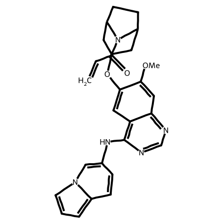 C=CC(=O)N1C2CCC1CC(Oc1cc3c(Nc4ccc5cccn5c4)ncnc3cc1OC)C2